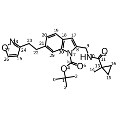 CC(C)(C)OC(=O)n1c(CNC(=O)C2(C)CC2)cc2ccc(CCc3ccon3)cc21